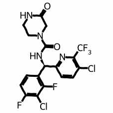 O=C1CN(C(=O)N[C@@H](c2ccc(Cl)c(C(F)(F)F)n2)c2ccc(F)c(Cl)c2F)CCN1